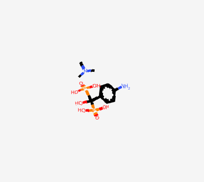 CN(C)C.Nc1ccc(C(O)(P(=O)(O)O)P(=O)(O)O)cc1